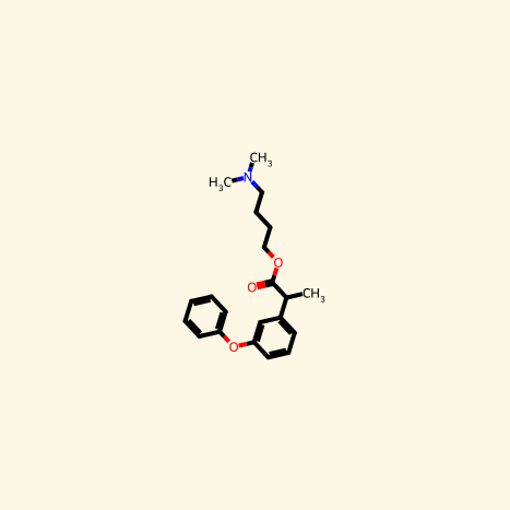 CC(C(=O)OCCCCN(C)C)c1cccc(Oc2ccccc2)c1